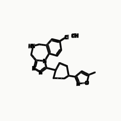 Cc1cc(C2CCC(c3nnc4n3-c3ccc(Cl)cc3CNC4)CC2)no1.Cl